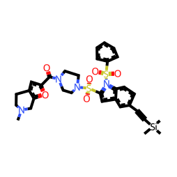 CN1CCc2cc(C(=O)N3CCN(S(=O)(=O)c4cc5cc(C#C[Si](C)(C)C)ccc5n4S(=O)(=O)c4ccccc4)CC3)oc2C1